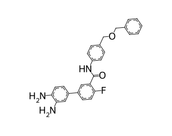 Nc1ccc(-c2ccc(F)c(C(=O)Nc3ccc(COCc4ccccc4)cc3)c2)cc1N